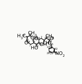 C=C(CC1OCC(CC2OC2C(C)C(C)O)C(O)C1O)C(C)C(=O)OCc1cccc([N+](=O)[O-])c1